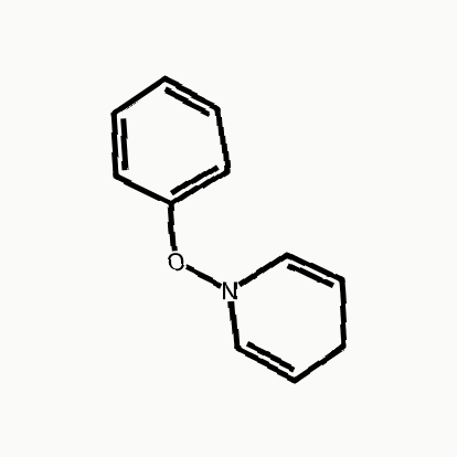 C1=CN(Oc2ccccc2)C=CC1